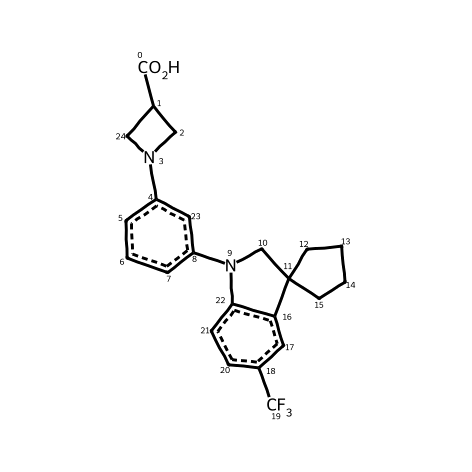 O=C(O)C1CN(c2cccc(N3CC4(CCCC4)c4cc(C(F)(F)F)ccc43)c2)C1